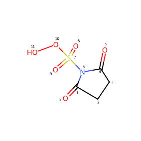 O=C1CCC(=O)N1S(=O)(=O)OO